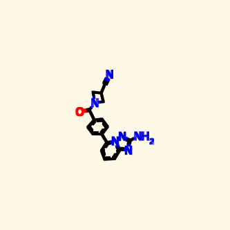 N#CC1CN(C(=O)c2ccc(-c3cccc4nc(N)nn34)cc2)C1